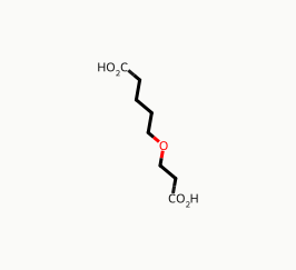 O=C(O)CCCCOCCC(=O)O